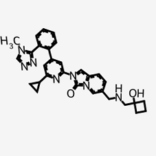 Cn1cnnc1-c1ccccc1-c1cc(C2CC2)nc(-n2cc3ccc(CNCC4(O)CCC4)cn3c2=O)c1